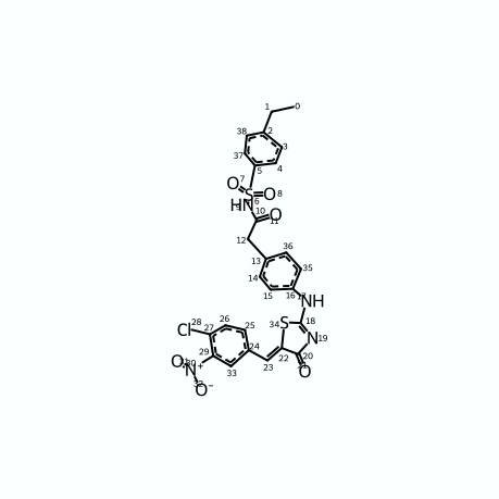 CCc1ccc(S(=O)(=O)NC(=O)Cc2ccc(NC3=NC(=O)C(=Cc4ccc(Cl)c([N+](=O)[O-])c4)S3)cc2)cc1